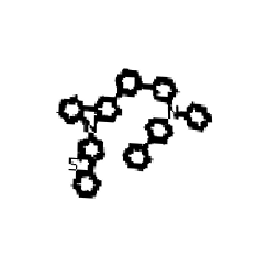 c1ccc(-c2ccc(N(c3ccccc3)c3cccc(-c4cccc(-c5ccc6c(c5)c5ccccc5n6-c5ccc6c(c5)sc5ccccc56)c4)c3)cc2)cc1